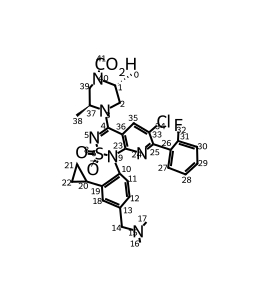 C[C@@H]1CN(C2=NS(=O)(=O)N(c3ccc(CN(C)C)cc3C3CC3)c3nc(-c4ccccc4F)c(Cl)cc32)[C@@H](C)CN1C(=O)O